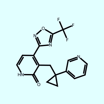 O=c1[nH]ccc(-c2noc(C(F)(F)F)n2)c1CC1(c2cccnc2)CC1